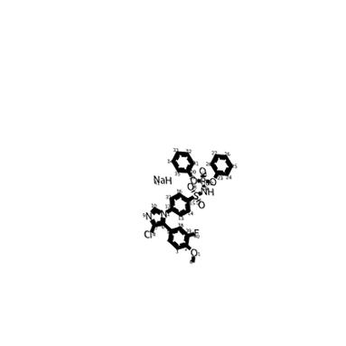 COc1ccc(-c2c(Cl)ncn2-c2ccc(S(=O)(=O)NP(=O)(Oc3ccccc3)Oc3ccccc3)cc2)cc1F.[NaH]